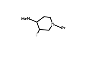 CNC1CCN(C(C)C)CC1F